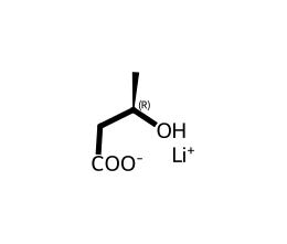 C[C@@H](O)CC(=O)[O-].[Li+]